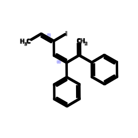 C=C(/C(=C\C(I)=C/C)c1ccccc1)c1ccccc1